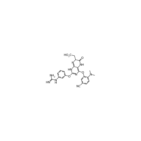 CN(C)c1ccc(C#N)cc1OC1=C2NC(=O)C(CC(=O)O)N=C2NC(Oc2cccc(NC(=N)N)c2)=N1